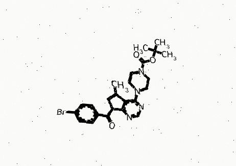 CC1CC(C(=O)c2ccc(Br)cc2)c2ncnc(N3CCN(C(=O)OC(C)(C)C)CC3)c21